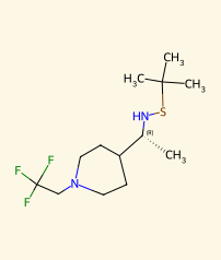 C[C@@H](NSC(C)(C)C)C1CCN(CC(F)(F)F)CC1